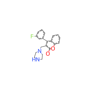 O=c1oc2ccccc2c(-c2cccc(F)c2)c1CN1CCNCC1